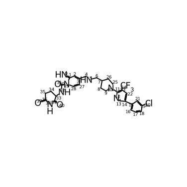 N=c1cc(CNCC2CCN(c3ncc(-c4cccc(Cl)c4)cc3C(F)(F)F)CC2)ccn1C(=O)NC1CCC(=O)NC1=O